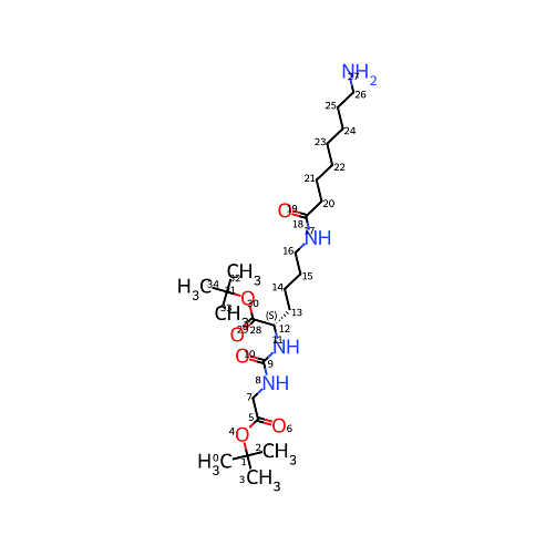 CC(C)(C)OC(=O)CNC(=O)N[C@@H](CCCCNC(=O)CCCCCCCN)C(=O)OC(C)(C)C